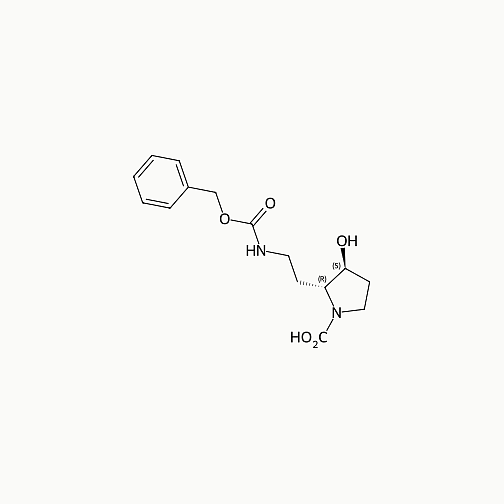 O=C(NCC[C@@H]1[C@@H](O)CCN1C(=O)O)OCc1ccccc1